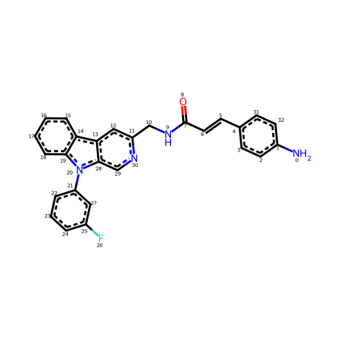 Nc1ccc(/C=C/C(=O)NCc2cc3c4ccccc4n(-c4cccc(F)c4)c3cn2)cc1